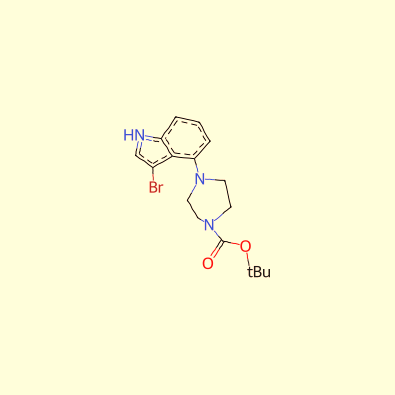 CC(C)(C)OC(=O)N1CCN(c2cccc3[nH]cc(Br)c23)CC1